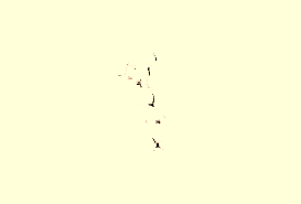 CCCCN(CC(=O)NC(=O)OC(C)(C)C)O[SiH](C)C